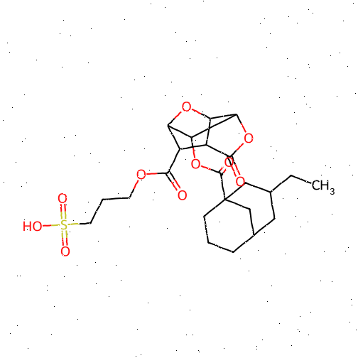 CCC1CC2CCCC(C(=O)OC3C4OC(=O)C5C4OC3C5C(=O)OCCCS(=O)(=O)O)(C1)C2